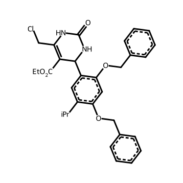 CCOC(=O)C1=C(CCl)NC(=O)NC1c1cc(C(C)C)c(OCc2ccccc2)cc1OCc1ccccc1